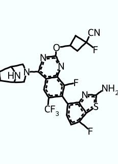 N#CC1(F)CC(Oc2nc(N3CC4CCC(C3)N4)c3cc(C(F)(F)F)c(-c4ccc(F)c5sc(N)nc45)c(F)c3n2)C1